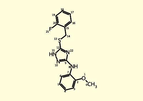 COc1ccccc1Nc1n[nH]c(SCc2ccccc2F)n1